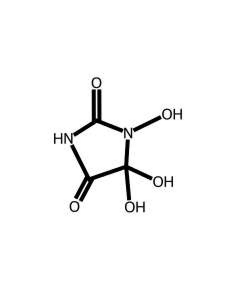 O=C1NC(=O)C(O)(O)N1O